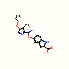 CCCOc1c[nH]c(C(=N)Oc2ccc3[nH]c(C(=O)O)cc3c2F)c1C